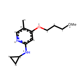 COCCCOc1cc(NC2CC2)ncc1C